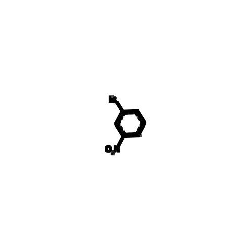 CCc1cc[c]c([N+](=O)[O-])c1